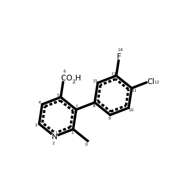 Cc1nccc(C(=O)O)c1-c1ccc(Cl)c(F)c1